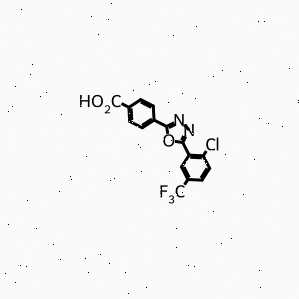 O=C(O)c1ccc(-c2nnc(-c3cc(C(F)(F)F)ccc3Cl)o2)cc1